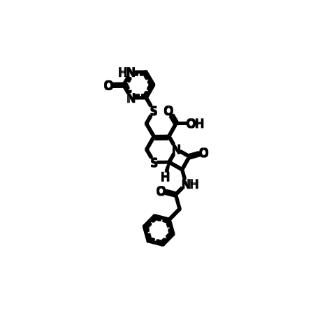 O=C(Cc1ccccc1)NC1C(=O)N2C(C(=O)O)=C(CSc3cc[nH]c(=O)n3)CS[C@@H]12